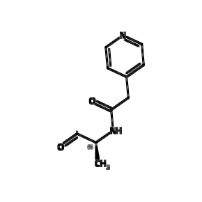 C[C@@H]([C]=O)NC(=O)Cc1ccncc1